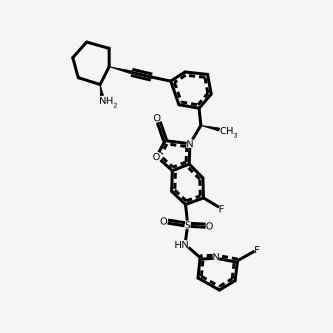 C[C@H](c1cccc(C#C[C@@H]2CCCC[C@@H]2N)c1)n1c(=O)oc2cc(S(=O)(=O)Nc3cccc(F)n3)c(F)cc21